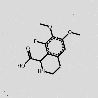 COc1cc2c(c(F)c1OC)C(C(=O)O)NCC2